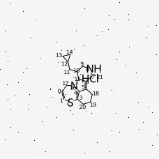 C1=CSC2=C3C(=C4CNCC(CC5CC5)C4N3C1)CCC2.Cl